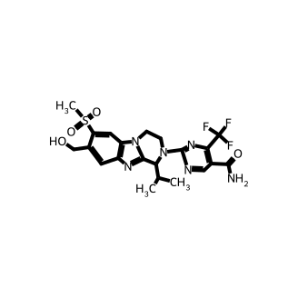 CC(C)C1c2nc3cc(CO)c(S(C)(=O)=O)cc3n2CCN1c1ncc(C(N)=O)c(C(F)(F)F)n1